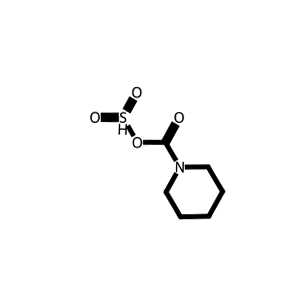 O=C(O[SH](=O)=O)N1CCCCC1